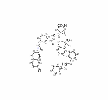 CC(C)(O)c1ccccc1CC[C@@H](SCC1(CC(=O)O)CC1)c1cccc(/C=C/c2ccc3ccc(Cl)cc3n2)c1.c1ccc(CNCc2ccccc2)cc1